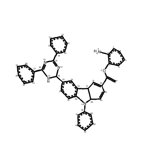 C=C(Oc1ccccc1N)C1=CC2c3cc(C4N=C(c5ccccc5)N=C(c5ccccc5)N4)ccc3N(c3ccccc3)C2C=C1